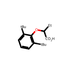 CCC(Oc1c(C(C)(C)C)cccc1C(C)(C)C)C(=O)O